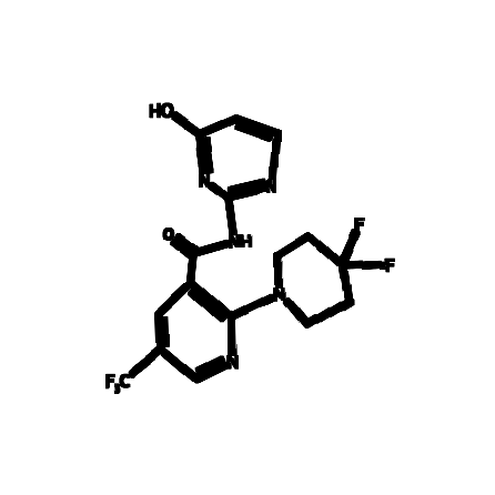 O=C(Nc1nccc(O)n1)c1cc(C(F)(F)F)cnc1N1CCC(F)(F)CC1